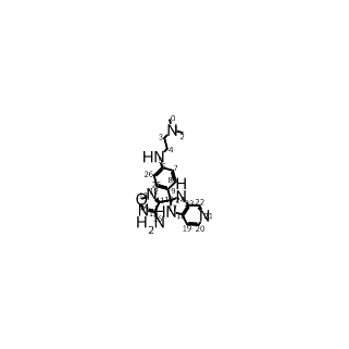 CN(C)CCNc1ccc(C2(c3nonc3N)Nc3ccncc3N2)cc1